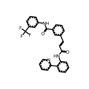 O=C(/C=C/c1cccc(C(=O)Nc2cccc(C(F)(F)F)c2)c1)Nc1ccccc1-c1ccccn1